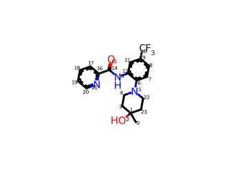 CC1(O)CCN(c2ccc(C(F)(F)F)cc2NC(=O)c2ccccn2)CC1